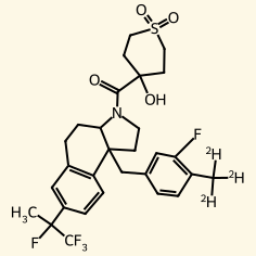 [2H]C([2H])([2H])c1ccc(CC23CCN(C(=O)C4(O)CCS(=O)(=O)CC4)C2CCc2cc(C(C)(F)C(F)(F)F)ccc23)cc1F